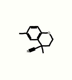 Cc1ccc2c(c1)C(C)(C#N)CCO2